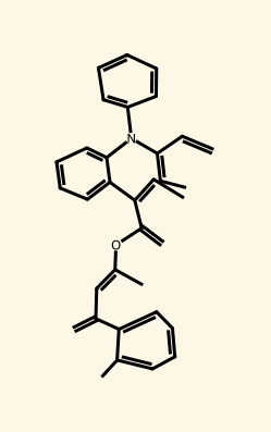 C=C/C(=C\C)N(c1ccccc1)c1ccccc1/C(=C/C)C(=C)O/C(C)=C/C(=C)c1ccccc1C